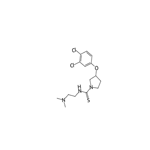 CN(C)CCNC(=S)N1CCC(Oc2ccc(Cl)c(Cl)c2)C1